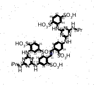 CC(C)Nc1nc(Nc2ccc(/C=C/c3ccc(Nc4nc(Nc5cc(S(=O)(=O)O)ccc5S(=O)(=O)O)nc(NC(C)C)n4)cc3S(=O)(=O)O)c(S(=O)(=O)O)c2)nc(Nc2cc(S(=O)(=O)O)ccc2S(=O)(=O)O)n1